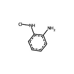 Nc1ccccc1NCl